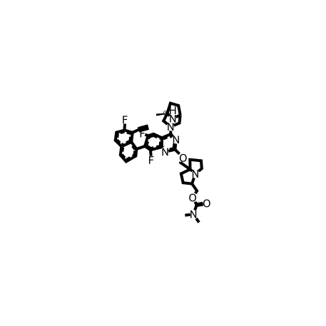 C#Cc1c(F)ccc2cccc(-c3c(F)cc4c(N5CC6CC[C@@](C)(C5)N6)nc(OCC56CCCN5C(COC(=O)N(C)C)CC6)nc4c3F)c12